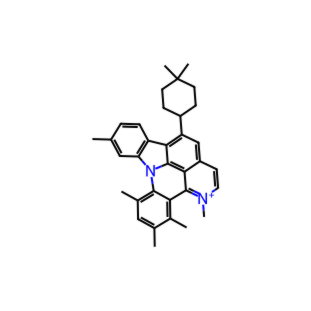 Cc1ccc2c3c(C4CCC(C)(C)CC4)cc4cc[n+](C)c5c6c(C)c(C)cc(C)c6n(c2c1)c3c45